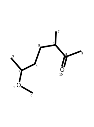 COC(C)CCC(C)C(C)=O